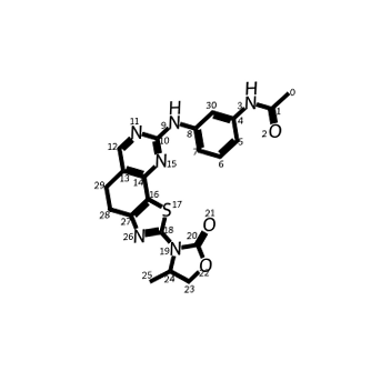 CC(=O)Nc1cccc(Nc2ncc3c(n2)-c2sc(N4C(=O)OCC4C)nc2CC3)c1